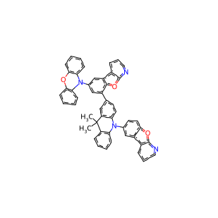 CC1(C)c2ccccc2N(c2ccc3oc4ncccc4c3c2)c2ccc(-c3cc(N4c5ccccc5Oc5ccccc54)cc4c3oc3ncccc34)cc21